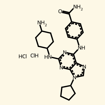 Cl.Cl.NC(=O)c1ccc(Nc2nc(NC3CCC(N)CC3)nc3c2ncn3C2CCCC2)cc1